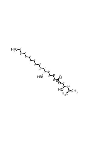 Br.CCCCCCCCCCCCCCCCCC(=O)OCC(O)CN(C)C